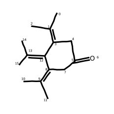 CC(C)=C1CC(=O)CC(=C(C)C)C1=C(C)C